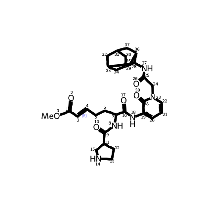 COC(=O)/C=C/CCC(NC(=O)C1CCNC1)C(=O)Nc1cccn(CC(=O)NC2C3CC4CC(C3)CC2C4)c1=O